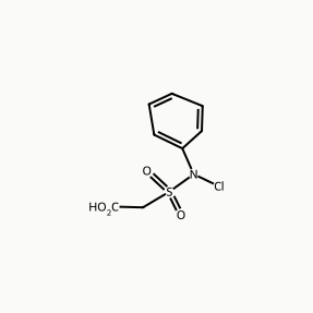 O=C(O)CS(=O)(=O)N(Cl)c1ccccc1